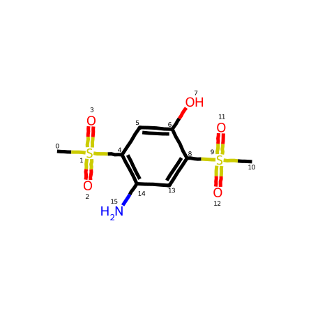 CS(=O)(=O)c1cc(O)c(S(C)(=O)=O)cc1N